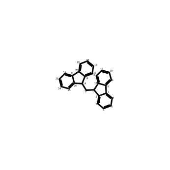 [CH](C1c2ccccc2-c2ccccc21)C1c2ccccc2-c2ccccc21